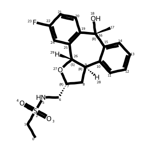 CCS(=O)(=O)NC[C@H]1C[C@@H]2c3ccccc3[C@@](C)(O)c3ccc(F)cc3[C@H]2O1